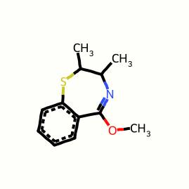 COC1=NC(C)C(C)Sc2ccccc21